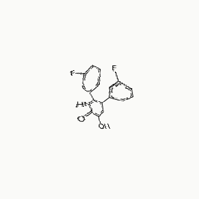 O=c1[nH]c(-c2cccc(F)c2)c(-c2cccc(F)c2)cc1O